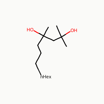 CCCCCCCCCC(C)(O)CC(C)(C)O